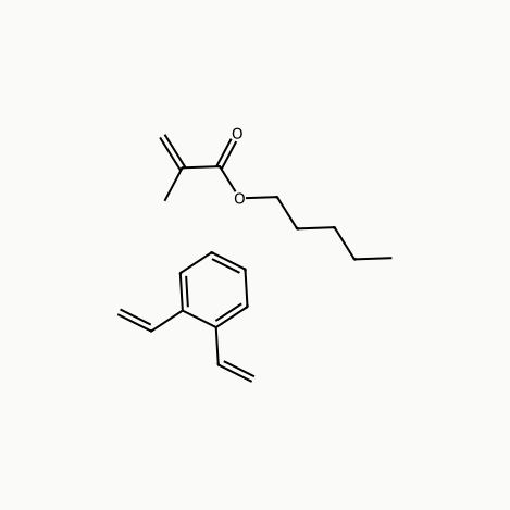 C=C(C)C(=O)OCCCCC.C=Cc1ccccc1C=C